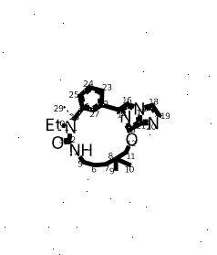 CCN1C(=O)NCCCC(C)(C)COc2nc(cn3ccnc23)-c2cccc(c2)[C@H]1C